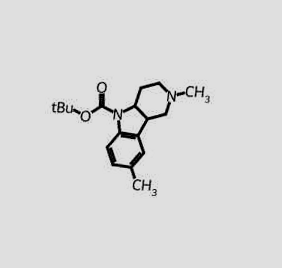 Cc1ccc2c(c1)C1CN(C)CCC1N2C(=O)OC(C)(C)C